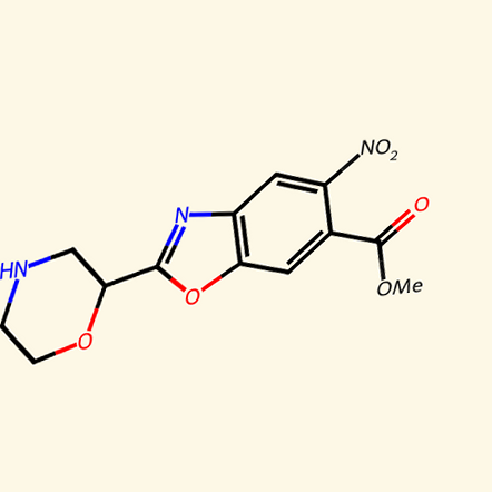 COC(=O)c1cc2oc(C3CNCCO3)nc2cc1[N+](=O)[O-]